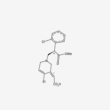 CCC1=CCN(C[C@H](C(=O)OC)c2ccccc2Cl)C/C1=C/C(=O)O